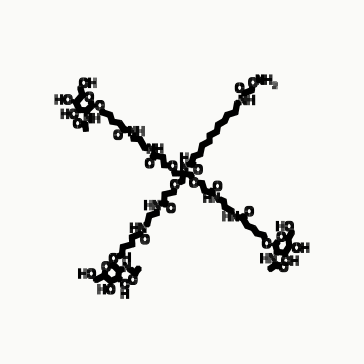 CC(=O)NC1C(O)[C@@H](O)C(CO)O[C@H]1OCCCCC(=O)NCCCNC(=O)CCOCC(COCCC(=O)NCCCNC(=O)CCCCO[C@@H]1OC(CO)[C@H](O)C(O)C1NC(C)=O)(COCCC(=O)NCCCNC(=O)CCCCO[C@@H]1OC(CO)[C@H](O)C(O)C1NC(C)=O)NC(=O)CCCCCCCCCCCNC(=O)CON